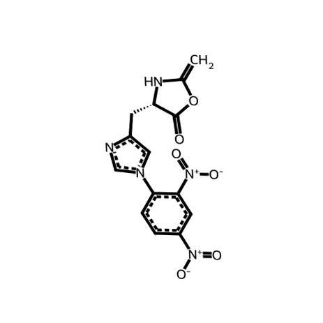 C=C1N[C@@H](Cc2cn(-c3ccc([N+](=O)[O-])cc3[N+](=O)[O-])cn2)C(=O)O1